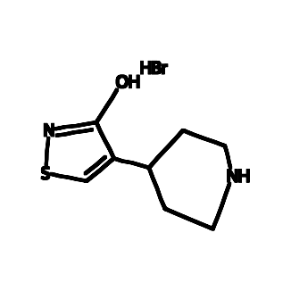 Br.Oc1nscc1C1CCNCC1